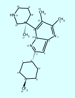 Cc1nc2cc([C@H]3CC[C@H](C(F)(F)F)CC3)nn2c([C@]2(C)CCCNC2)c1C